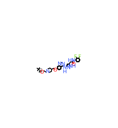 CC(C)(C)[Si](C)(C)OCCN1CCC(COc2ccc3c(Nc4cc(CC(=O)Nc5cccc(F)c5F)[nH]n4)ncnc3c2)CC1